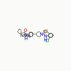 CNC1(C(=O)Nc2ccc(C3CCN(C(=O)Nc4c(Cl)cccc4Cl)CC3)cc2)CCCC1